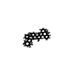 Cc1cc(-c2ccc3oc4ccccc4c3c2Nc2ccc3c(c2)C(C)(C)CCC3(C)C)c2c(c1)N1c3ccccc3C(C)(C)c3cccc(c31)B2